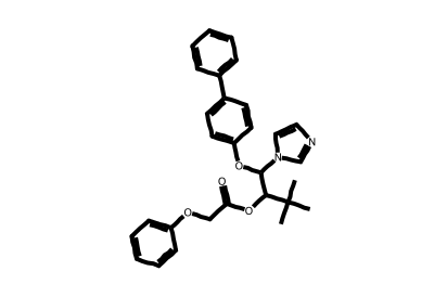 CC(C)(C)C(OC(=O)COc1ccccc1)C(Oc1ccc(-c2ccccc2)cc1)n1ccnc1